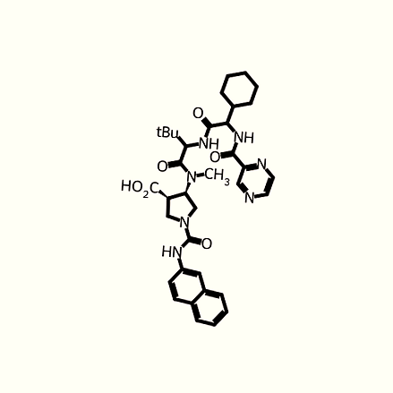 CN(C(=O)C(NC(=O)C(NC(=O)c1cnccn1)C1CCCCC1)C(C)(C)C)[C@H]1CN(C(=O)Nc2ccc3ccccc3c2)C[C@H]1C(=O)O